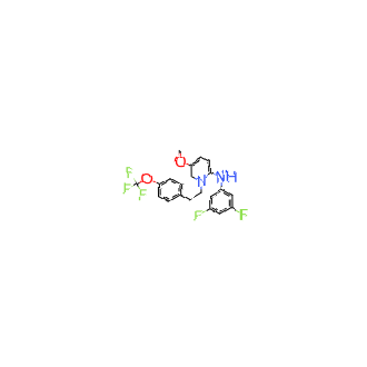 COC1=CC=C(Nc2cc(F)cc(F)c2)N(CCc2ccc(OC(F)(F)F)cc2)C1